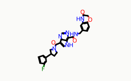 O=C1COc2ccc(CNC(=O)c3ncnc4c(C(=O)N5CCC(c6cccc(F)c6)C5)c[nH]c34)cc2N1